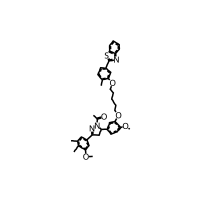 COc1ccc(C2CC(c3cc(C)c(C)c(OC)c3)=NN2C(C)=O)cc1OCCCCCOc1cc(-c2nc3ccccc3s2)ccc1C